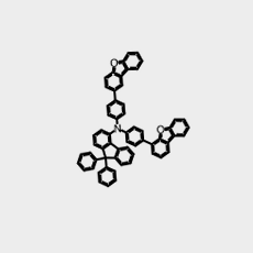 c1ccc(C2(c3ccccc3)c3ccccc3-c3c(N(c4ccc(-c5ccc6oc7ccccc7c6c5)cc4)c4ccc(-c5cccc6c5oc5ccccc56)cc4)cccc32)cc1